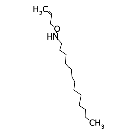 C=CCONCCCCCCCCCCCCC